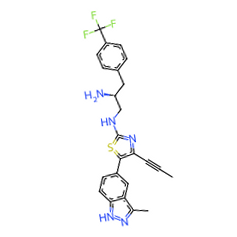 CC#Cc1nc(NC[C@@H](N)Cc2ccc(C(F)(F)F)cc2)sc1-c1ccc2[nH]nc(C)c2c1